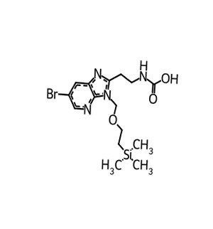 C[Si](C)(C)CCOCn1c(CCNC(=O)O)nc2cc(Br)cnc21